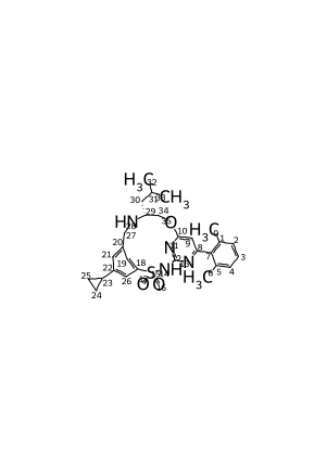 Cc1cccc(C)c1-c1cc2nc(n1)NS(=O)(=O)c1cc(cc(C3CC3)c1)CN[C@H](CC(C)C)CO2